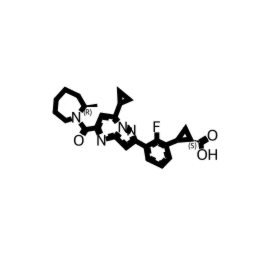 C[C@@H]1CCCCCN1C(=O)c1cc(C2CC2)n2nc(-c3cccc(C4C[C@@H]4C(=O)O)c3F)cc2n1